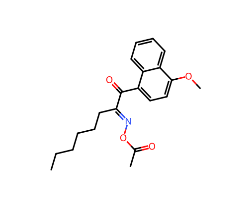 CCCCCCC(=NOC(C)=O)C(=O)c1ccc(OC)c2ccccc12